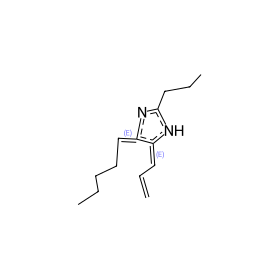 C=C/C=c1/[nH]c(CCC)n/c1=C/CCCC